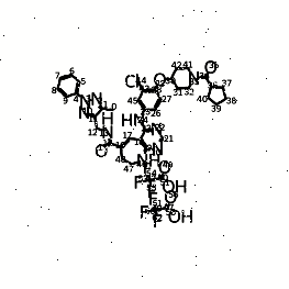 Cc1nn(-c2ccccc2)nc1CNC(=O)C1=Cc2c(ncnc2Nc2ccc(OC3CCN(C(=O)C4CCCC4)CC3)c(Cl)c2)NCC1.O=C(O)C(F)(F)F.O=C(O)C(F)(F)F